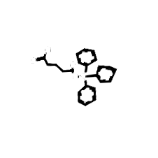 O=C(Cl)CCCC(=O)O[Si](c1ccccc1)(c1ccccc1)c1ccccc1